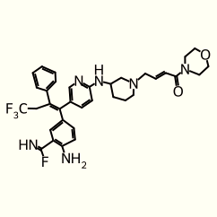 N=C(F)c1cc(/C(=C(\CC(F)(F)F)c2ccccc2)c2ccc(NC3CCCN(C/C=C/C(=O)N4CCOCC4)C3)nc2)ccc1N